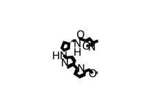 COCc1cccc(-c2ccc(N[C@@H]3CC[C@H](CNC(=O)c4cc(C)no4)C3)nc2)n1